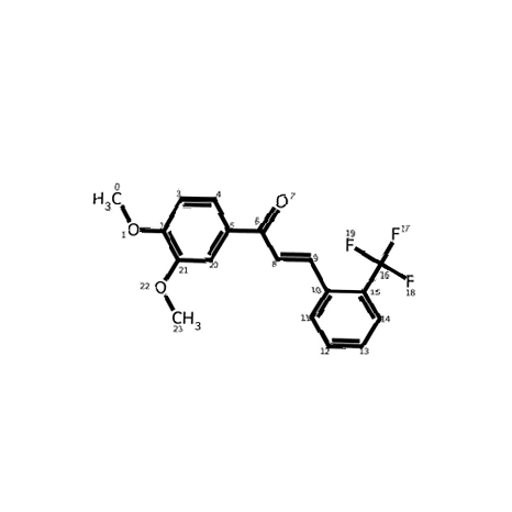 COc1ccc(C(=O)/C=C/c2ccccc2C(F)(F)F)cc1OC